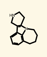 c1cc2c3c(c1)c1c(n3CCCC2)CCNC1